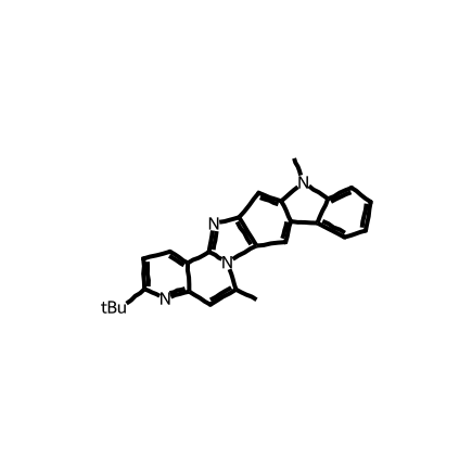 Cc1cc2nc(C(C)(C)C)ccc2c2nc3cc4c(cc3n12)c1ccccc1n4C